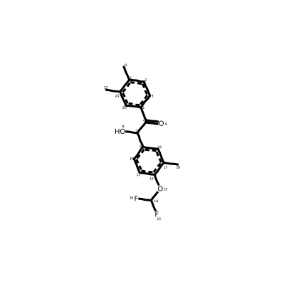 Cc1ccc(C(=O)C(O)c2ccc(OC(F)F)c(C)c2)cc1C